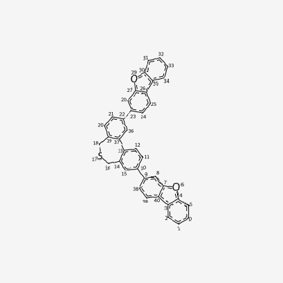 c1ccc2c(c1)oc1cc(-c3ccc4c(c3)CSCc3ccc(-c5ccc6c(c5)oc5ccccc56)cc3-4)ccc12